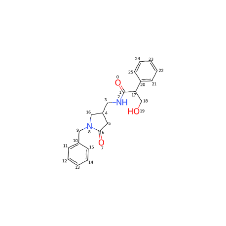 O=C(NCC1CC(=O)N(Cc2ccccc2)C1)C(CO)c1ccccc1